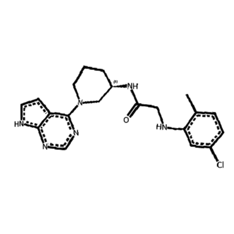 Cc1ccc(Cl)cc1NCC(=O)N[C@@H]1CCCN(c2ncnc3[nH]ccc23)C1